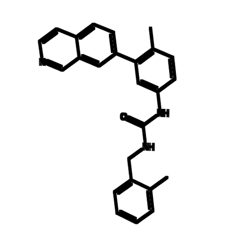 Cc1ccccc1CNC(=O)Nc1ccc(C)c(-c2ccc3ccncc3c2)c1